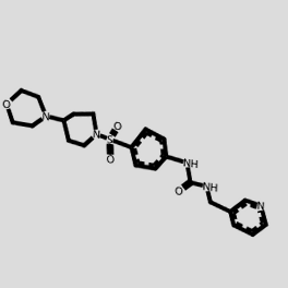 O=C(NCc1cccnc1)Nc1ccc(S(=O)(=O)N2CCC(N3CCOCC3)CC2)cc1